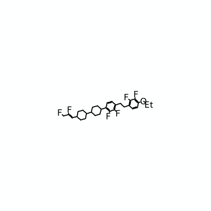 CCOc1ccc(CCc2ccc(C3CCC(C4CCC(/C=C(\F)CF)CC4)CC3)c(F)c2F)c(F)c1F